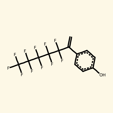 C=C(c1ccc(O)cc1)C(F)(F)C(F)(F)C(F)(F)C(F)(F)C(F)(F)F